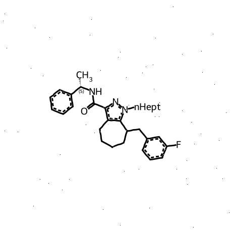 CCCCCCCn1nc(C(=O)N[C@@H](C)c2ccccc2)c2c1C(Cc1cccc(F)c1)CCCC2